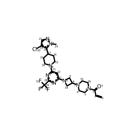 C=CC(=O)N1CCN(C2CN(c3cc(N4CCC(c5c(Cl)cnn5C)CC4)nc(C(F)(F)F)n3)C2)CC1